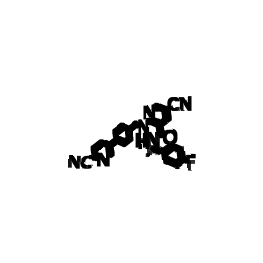 C[C@H](NC(=O)c1cc(C#N)cnc1NCc1ccc(-c2ccc(C#N)nc2)cc1)c1ccc(F)cc1